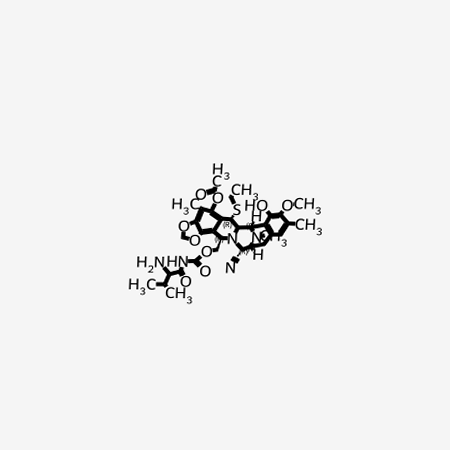 CCS[C@@H]1c2c(OC(C)=O)c(C)c3c(c2[C@H](COC(=O)NC(=O)C(N)C(C)C)N2C1[C@@H]1c4c(cc(C)c(OC)c4O)C[C@H]([C@@H]2C#N)N1C)OCO3